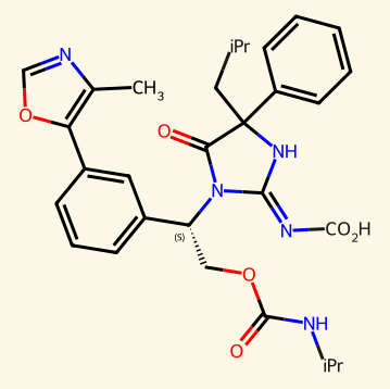 Cc1ncoc1-c1cccc([C@@H](COC(=O)NC(C)C)N2C(=O)C(CC(C)C)(c3ccccc3)NC2=NC(=O)O)c1